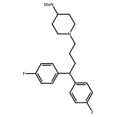 CNC1CCN(CCCC(c2ccc(F)cc2)c2ccc(F)cc2)CC1